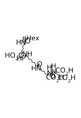 CCCCCCC(=O)NCCCCC(NC(=P)CCCCCCC(=O)NCCCC[C@H](NC(=O)N[C@@H](CCC(=O)O)C(=O)O)C(=O)O)C(=O)O